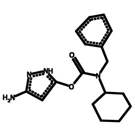 Nc1cc(OC(=O)N(Cc2ccccc2)C2CCCCC2)[nH]n1